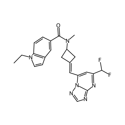 CCn1ccc2cc(C(=O)N(C)C3CC(=Cc4cc(C(F)F)nc5ncnn45)C3)ccc21